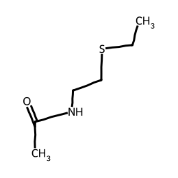 CCSCCNC(C)=O